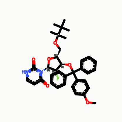 COc1ccc(C(O[C@H]2[C@H](F)[C@H](n3c(=O)cc[nH]c3=O)O[C@@H]2CO[Si](C)(C)C(C)(C)C)(c2ccccc2)c2ccccc2)cc1